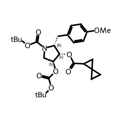 COc1ccc(C[C@@H]2[C@H](OC(=O)C3CC34CC4)[C@@H](OC(=O)OC(C)(C)C)CN2C(=O)OC(C)(C)C)cc1